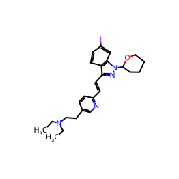 CCN(CC)CCc1ccc(/C=C/c2nn(C3CCCCO3)c3cc(I)ccc23)nc1